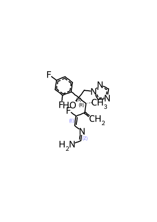 C=C(/C(F)=C\N=C/N)[C@@H](C)[C@@](O)(Cn1cncn1)c1ccc(F)cc1F